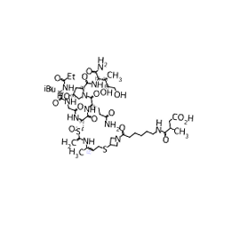 C=C(N/C(C)=C\CSC1CN(C(=O)CCCCCNC(=O)C(C)CC(=O)O)C1)[S+]([O-])C[C@H](NC(=O)CNC(=O)[C@@H](NC(=O)CC)[C@@H](C)CC)C(=O)N[C@@H](CCC(N)=O)C(=O)N1C[C@H](O)C[C@H]1C(=O)N[C@H](C(N)=O)[C@@H](C)[C@@H](O)CO